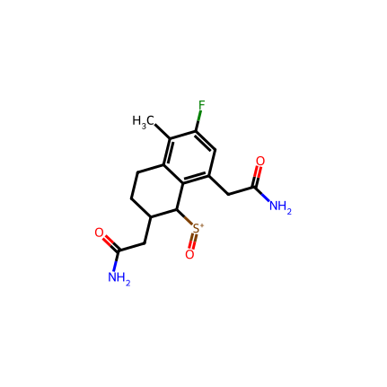 Cc1c(F)cc(CC(N)=O)c2c1CCC(CC(N)=O)C2[S+]=O